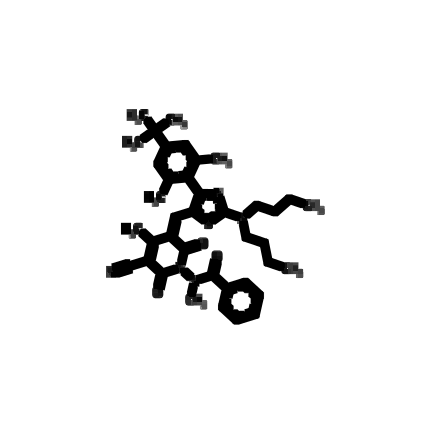 CCCCN(CCCC)c1nc(-c2c(C)cc(C(C)(C)C)cc2C)c(/C=C2\C(=O)N(N(C)C(=O)c3ccccc3)C(=O)C(C#N)=C2C)s1